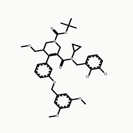 COCC1CN(C(=O)OC(C)(C)C)CC(C(=O)N(Cc2cccc(Cl)c2Cl)C2CC2)=C1c1cccc(OCc2cc(OC)cc(OC)c2)c1